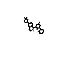 Cc1cc(-c2nccc3cc(C4CCC(C)(C)C4)ccc23)c2oc3ccccc3c2c1